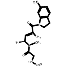 C/C(=C\[C@H](C(C)C)N(C)C(=O)CNC=O)C(=O)N1CCc2ccc([N+](=O)[O-])cc21